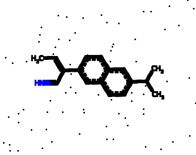 C/C=C(\C=N)c1ccc2cc(C(C)C)ccc2c1